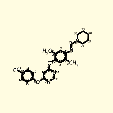 Cc1cc(Oc2cc(Oc3ccc(Cl)cc3)ncn2)c(C)cc1/N=C/N1CCCCC1